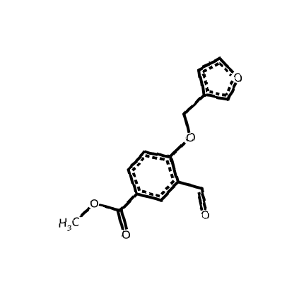 COC(=O)c1ccc(OCc2ccoc2)c(C=O)c1